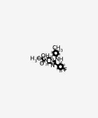 Cc1ccc(Nc2c(-c3ccc(F)cc3)nc3n2CCN(C(=O)[C@H](C)O)C3)cc1